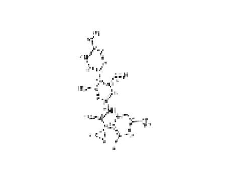 CCOc1ccc(-c2c(C)cc(NC(=O)C3(c4ccc(C(F)(F)F)cc4F)CC3)cc2C(=O)O)cn1